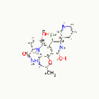 CC1CCCC(c2c(O)nc(-c3cccnc3)c(F)c2-c2nc(C(N)=O)ccc2O)O1